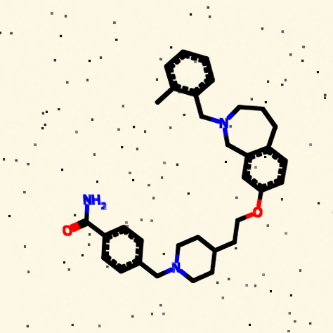 Cc1ccccc1CN1CCCc2ccc(OCCC3CCN(Cc4ccc(C(N)=O)cc4)CC3)cc2C1